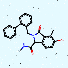 Cc1c(O)ccc2c1C(=O)N(Cc1ccccc1-c1ccccc1)C2C(=O)NC(C)(C)C